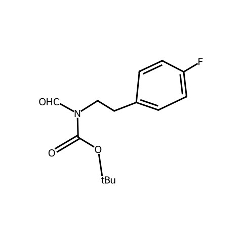 CC(C)(C)OC(=O)N(C=O)CCc1ccc(F)cc1